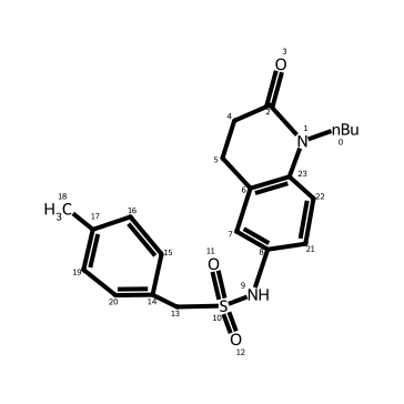 CCCCN1C(=O)CCc2cc(NS(=O)(=O)Cc3ccc(C)cc3)ccc21